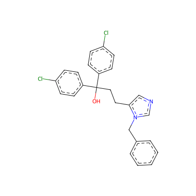 OC(CCc1cncn1Cc1ccccc1)(c1ccc(Cl)cc1)c1ccc(Cl)cc1